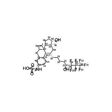 C=CC12CCc3cc(NS(=O)(=O)O)ccc3C1[C@@H](CCCCC(O)C(F)(F)C(F)(F)C(F)(F)F)C[C@@]1(C)C2CC[C@@H]1O